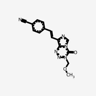 COCn1nnc2c(C=Cc3ccc(C#N)cc3)ncn2c1=O